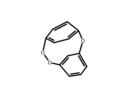 c1cc2cc(c1)Oc1ccc(cc1)OO2